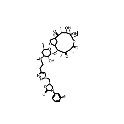 CC[C@H]1OC(=O)[C@H](C)C(=O)[C@H](C)[C@@H](O[C@@H]2O[C@H](C)C[C@H](N(C)CCc3cn(C[C@H]4CN(c5cccc(F)c5)C(=O)O4)nn3)[C@H]2O)[C@@]2(C)C[C@@H](CO2)C(=O)[C@H](C)[C@@H](O)[C@]1(C)O